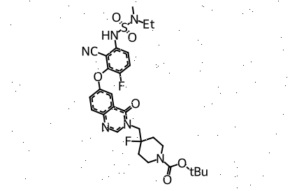 CCN(C)S(=O)(=O)Nc1ccc(F)c(Oc2ccc3ncn(CC4(F)CCN(C(=O)OC(C)(C)C)CC4)c(=O)c3c2)c1C#N